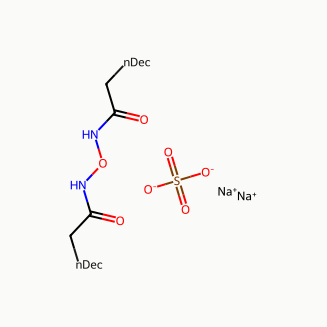 CCCCCCCCCCCC(=O)NONC(=O)CCCCCCCCCCC.O=S(=O)([O-])[O-].[Na+].[Na+]